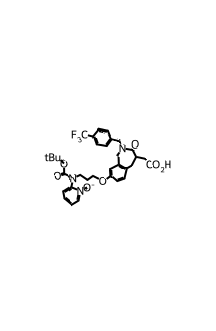 CC(C)(C)OC(=O)N(CCCOc1ccc2c(c1)CN(Cc1ccc(C(F)(F)F)cc1)C(=O)C(CC(=O)O)C2)c1cccc[n+]1[O-]